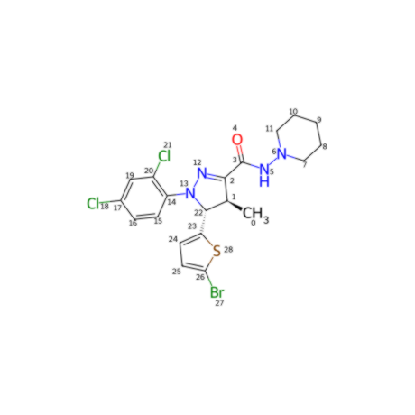 C[C@@H]1C(C(=O)NN2CCCCC2)=NN(c2ccc(Cl)cc2Cl)[C@H]1c1ccc(Br)s1